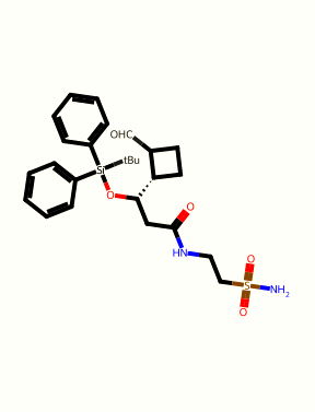 CC(C)(C)[Si](OC(CC(=O)NCCS(N)(=O)=O)[C@H]1CCC1C=O)(c1ccccc1)c1ccccc1